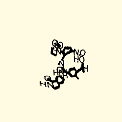 Cc1cc2ccc1[C@@H](C)COC(=O)Nc1ccc(N3CCCS3(=O)=O)c(c1)CN(C)C(=O)[C@@H]2Nc1ccc2cc[nH]c(=O)c2c1